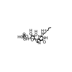 CCCSCNc1nc2c(ncn2[C@@H]2O[C@H](COP(=O)(O)O)[C@@H](O)[C@H]2O)c(=O)[nH]1